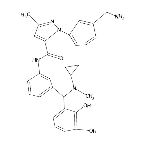 Cc1cc(C(=O)Nc2cccc(C(c3cccc(O)c3O)N(C)C3CC3)c2)n(-c2cccc(CN)c2)n1